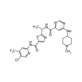 CC(NC(=O)c1cc(NC2CCN(C)CC2)ncn1)c1ncc(C(=O)Nc2cc(C(F)(F)F)c(Cl)cn2)s1